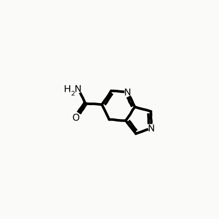 NC(=O)C1=CN=C2C=NC=C2C1